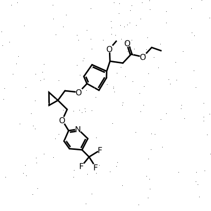 CCOC(=O)CC(OC)c1ccc(OCC2(COc3ccc(C(F)(F)F)cn3)CC2)cc1